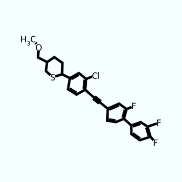 COCC1CCC(c2ccc(C#Cc3ccc(-c4ccc(F)c(F)c4)c(F)c3)c(Cl)c2)SC1